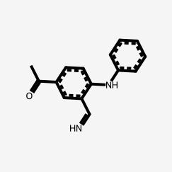 CC(=O)c1ccc(Nc2ccccc2)c(C=N)c1